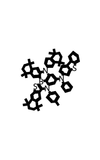 Cc1ccc(N2c3cc(N(c4ccccc4)c4ccc5c(c4)sc4ccccc45)cc4c3B(c3cc5c(cc3N4c3ccc4c(c3)C(C)(C)CCC4(C)C)C(C)(C)CCC5(C)C)c3sc4cc5c(cc4c32)C(C)(C)CCC5(C)C)cc1